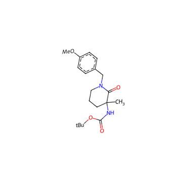 COc1ccc(CN2CCCC(C)(NC(=O)OC(C)(C)C)C2=O)cc1